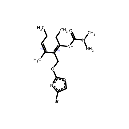 CC/C=C(C)\C(COc1nc(Br)cs1)=C(/CC)NC(=O)N(C)N